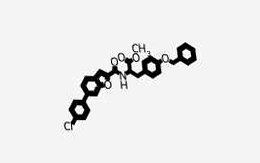 COC(=O)C(Cc1ccc(OCc2ccccc2)cc1)NC(=O)c1cc2ccc(-c3ccc(Cl)cc3)cc2o1